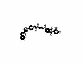 O=C(CN1CCC(n2cc(-c3ccc4ccccc4n3)cn2)CC1)NCCCNc1ccc2c(c1)C(=O)N(C1CCC(=O)NC1=O)C2=O